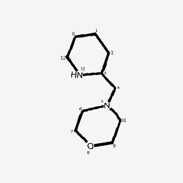 C1CCC(CN2CCOCC2)NC1